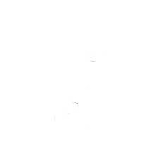 CCOC(C)OC(=S)SC1CCC2SC1CCC2SC(=S)OC(C)OCC